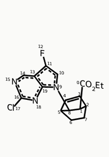 CCOC(=O)C1C2C=CC(CC2)C1n1cc(F)c2cnc(Cl)nc21